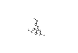 CCOCC([O])(OCC)OCC